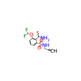 C#CCNS(=O)(=O)c1cccc(OC(F)F)c1C(N)=S